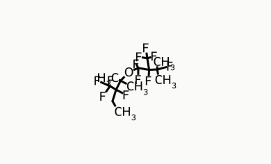 CCC(F)(C(F)(F)F)C(C)(C)OC(F)(F)C(F)(C(C)(C)F)C(F)(F)F